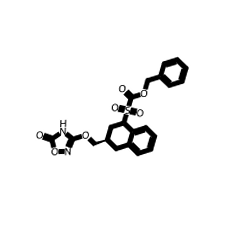 O=C(OCc1ccccc1)S(=O)(=O)C1C[C@H](COc2noc(=O)[nH]2)Cc2ccccc21